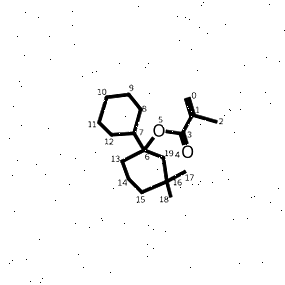 C=C(C)C(=O)OC1(C2CCCCC2)CCCC(C)(C)C1